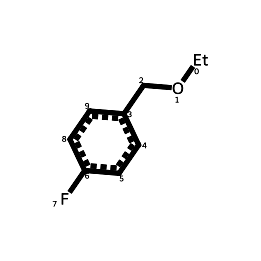 [CH2]COCc1ccc(F)cc1